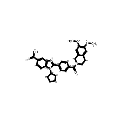 COc1cc2c(cc1OC)CN(C(=O)c1ccc(-c3nc4cc(C(=O)O)ccc4n3C3CCCC3)cc1)CC2